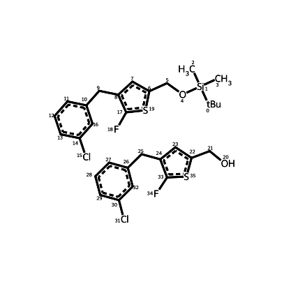 CC(C)(C)[Si](C)(C)OCc1cc(Cc2cccc(Cl)c2)c(F)s1.OCc1cc(Cc2cccc(Cl)c2)c(F)s1